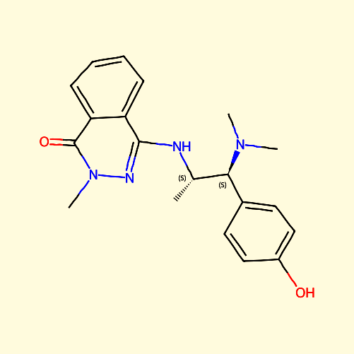 C[C@H](Nc1nn(C)c(=O)c2ccccc12)[C@H](c1ccc(O)cc1)N(C)C